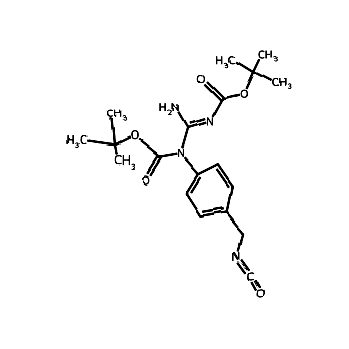 CC(C)(C)OC(=O)N=C(N)N(C(=O)OC(C)(C)C)c1ccc(CN=C=O)cc1